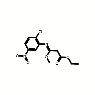 CCOC(=O)CC(=Nc1cc([N+](=O)[O-])ccc1Cl)OC